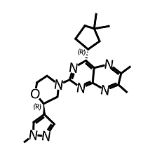 Cc1nc2nc(N3CCO[C@H](c4cnn(C)c4)C3)nc([C@@H]3CCC(C)(C)C3)c2nc1C